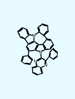 c1ccc(-c2nc3ccccc3nc2-n2c3cccc4c5ccccc5n5c6ccccc6c6cc(-c7ccccc7)c2c(c43)c65)cc1